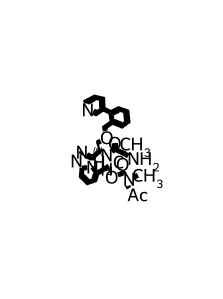 CC(=O)CN(C)C(=O)OCc1cccc2nnc([C@@H](COCc3ccccc3-c3cccnc3)NC(=O)C(C)(C)N)n12